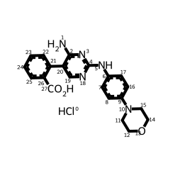 Cl.Nc1nc(Nc2ccc(N3CCOCC3)cc2)ncc1-c1ccccc1C(=O)O